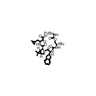 CC(C)(C)NC(=O)OC[C@@H](NC(=O)N[C@H](C(=O)N1C[C@H]2[C@@H]([C@H]1C(=O)NC(CC1CC1)C(=O)C(N)=O)C2(C)C)C1Cc2ccccc2C1)C(C)(C)C